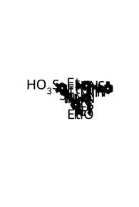 CCN(CC)c1ccc(/N=N/c2nc3cccc(C)c3s2)c(Nc2nc(Nc3cc(N(CC)CC)ccc3/N=N/c3nc4ccc(S(=O)(=O)O)c(C)c4s3)nc(SCCO)n2)c1